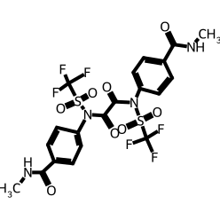 CNC(=O)c1ccc(N(C(=O)C(=O)N(c2ccc(C(=O)NC)cc2)S(=O)(=O)C(F)(F)F)S(=O)(=O)C(F)(F)F)cc1